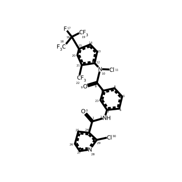 O=C(Nc1cccc(C(=O)N(Cl)c2ccc(C(F)(C(F)(F)F)C(F)(F)F)cc2C(F)(F)F)c1)c1cccnc1Cl